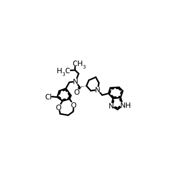 CC(C)CN(Cc1cc(Cl)c2c(c1)OCCCO2)C(=O)[C@@H]1CCCN(Cc2cccc3[nH]cnc23)C1